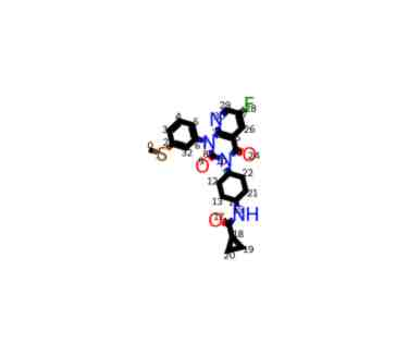 CSc1cccc(-n2c(=O)n(C3CCC(NC(=O)C4CC4)CC3)c(=O)c3cc(F)cnc32)c1